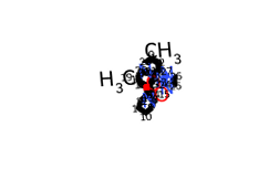 Cc1ccc(OCC2CC3CCC2N3C(=O)c2cc(C)ccc2-n2nccn2)nc1